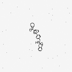 O=C(Cc1ccccc1F)NCc1ccc(-c2nc(C(=O)N3CCCCC3)co2)cc1